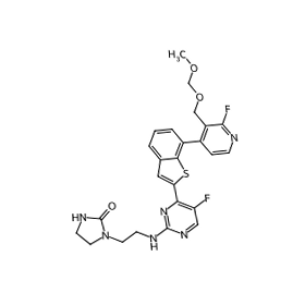 COCOCc1c(-c2cccc3cc(-c4nc(NCCN5CCNC5=O)ncc4F)sc23)ccnc1F